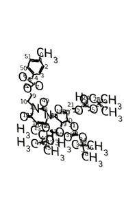 Cc1ccc(S(=O)(=O)OCCn2c(=O)c(C)cn([C@@H]3O[C@H](COC(=O)OC(C)(C)C)C(OC(=O)OC(C)(C)C)C3OC(=O)OC(C)(C)C)c2=O)cc1